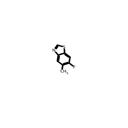 Cc1cc2ncsc2cc1F